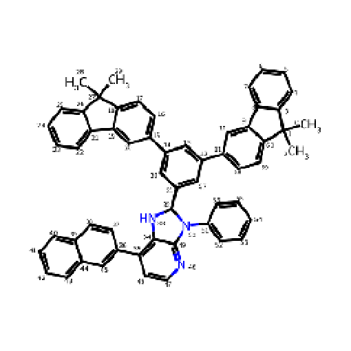 CC1(C)c2ccccc2-c2cc(-c3cc(-c4ccc5c(c4)-c4ccccc4C5(C)C)cc(C4Nc5c(-c6ccc7ccccc7c6)ccnc5N4c4ccccc4)c3)ccc21